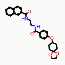 O=C(NCCNC(=O)c1ccc2ccccc2c1)c1ccc(OC2CCC3(CC2)OCCO3)cc1